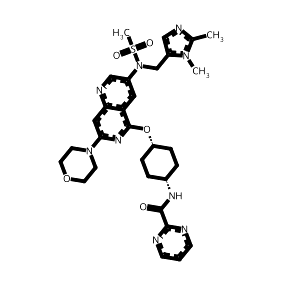 Cc1ncc(CN(c2cnc3cc(N4CCOCC4)nc(O[C@H]4CC[C@@H](NC(=O)c5ncccn5)CC4)c3c2)S(C)(=O)=O)n1C